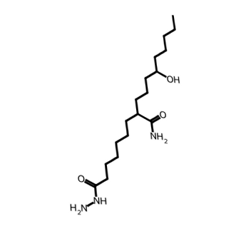 CCCCCC(O)CCCC(CCCCCCC(=O)NN)C(N)=O